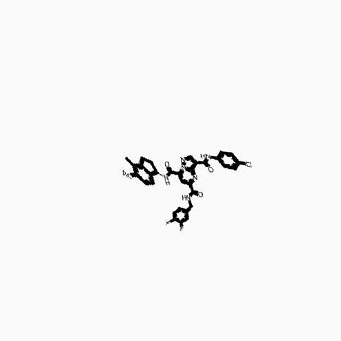 CC(=O)c1ccc2c(c1C)CC[C@@H]2NC(=O)c1cc(C(=O)NCc2ccc(F)c(F)c2)nc2c(C(=O)Nc3ccc(Cl)cc3)cnn12